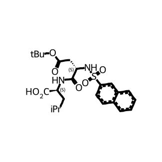 CC(C)C[C@H](NC(=O)[C@H](CC(=O)OC(C)(C)C)NS(=O)(=O)c1ccc2ccccc2c1)C(=O)O